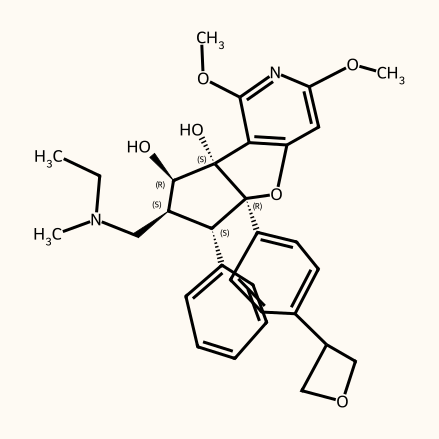 CCN(C)C[C@H]1[C@@H](O)[C@@]2(O)c3c(cc(OC)nc3OC)O[C@@]2(c2ccc(C3COC3)cc2)[C@@H]1c1ccccc1